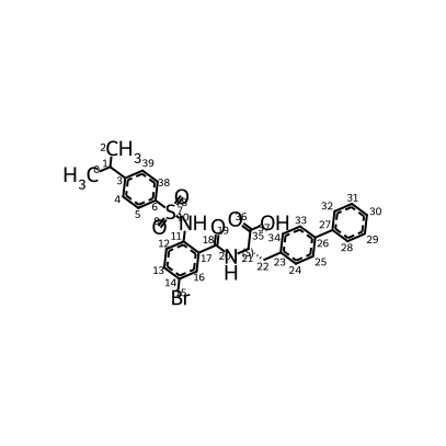 CC(C)c1ccc(S(=O)(=O)Nc2ccc(Br)cc2C(=O)N[C@@H](Cc2ccc(-c3ccccc3)cc2)C(=O)O)cc1